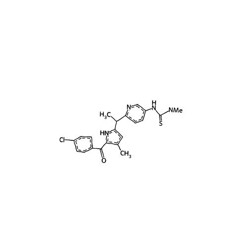 CNC(=S)Nc1ccc(C(C)c2cc(C)c(C(=O)c3ccc(Cl)cc3)[nH]2)nc1